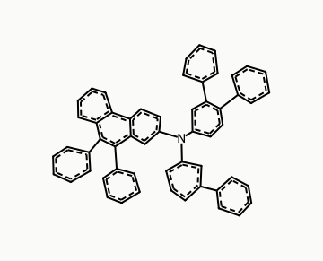 c1ccc(-c2cccc(N(c3ccc(-c4ccccc4)c(-c4ccccc4)c3)c3ccc4c(c3)c(-c3ccccc3)c(-c3ccccc3)c3ccccc34)c2)cc1